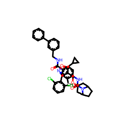 Cc1cc(C(=O)NCc2cccc(-c3ccccc3)c2)ccc1NC(=O)N1C2CCC1CC(OCc1c(-c3c(Cl)cccc3Cl)noc1C1CC1)C2